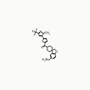 Cn1nc(C(F)(F)F)cc1-c1ccc(C(=O)N2CCC3(CC2)COc2ccc(CN)cc23)s1